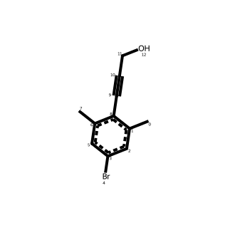 Cc1cc(Br)cc(C)c1C#CCO